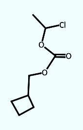 CC(Cl)OC(=O)OCC1CCC1